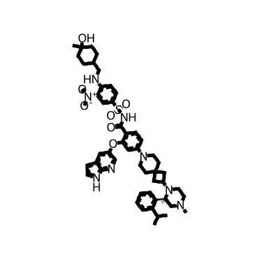 CC(C)c1ccccc1[C@@H]1CN(C)CCN1C1CC2(CCN(c3ccc(C(=O)NS(=O)(=O)c4ccc(NCC5CCC(C)(O)CC5)c([N+](=O)[O-])c4)c(Oc4cnc5[nH]ccc5c4)c3)CC2)C1